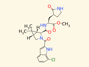 COC(=O)[C@H](C[C@@H]1CCNC1=O)NC(=O)[C@@H]1[C@@H]2[C@H](CN1C(=O)c1cc3cccc(Cl)c3[nH]1)C2(C)C